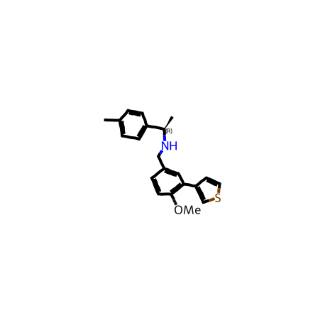 COc1ccc(CN[C@H](C)c2ccc(C)cc2)cc1-c1ccsc1